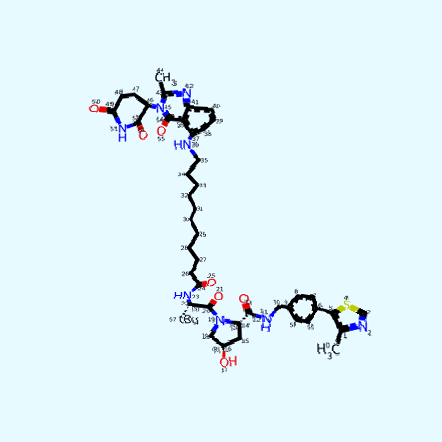 Cc1ncsc1-c1ccc(CNC(=O)[C@@H]2C[C@@H](O)CN2C(=O)[C@@H](NC(=O)CCCCCCCCCCNc2cccc3nc(C)n(C4CCC(=O)NC4=O)c(=O)c23)C(C)(C)C)cc1